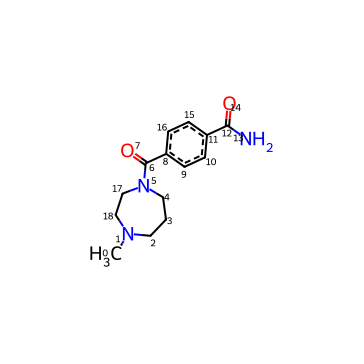 CN1CCCN(C(=O)c2ccc(C(N)=O)cc2)CC1